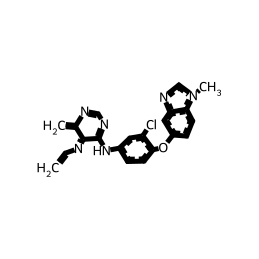 C=C/N=C1\C(=C)N=CN=C1Nc1ccc(Oc2ccc3c(c2)ncn3C)c(Cl)c1